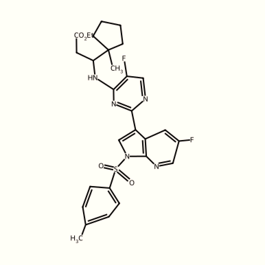 CCOC(=O)CC(Nc1nc(-c2cn(S(=O)(=O)c3ccc(C)cc3)c3ncc(F)cc23)ncc1F)C1(C)CCCC1